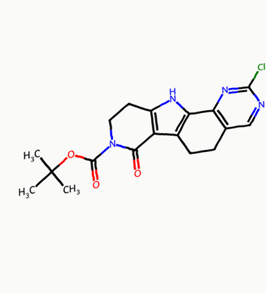 CC(C)(C)OC(=O)N1CCc2[nH]c3c(c2C1=O)CCc1cnc(Cl)nc1-3